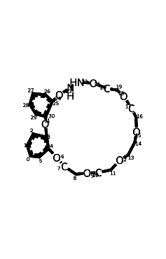 c1ccc2c(c1)OCCOCCOCCOCCOCCONNOc1ccccc1O2